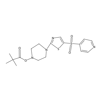 CC(C)(C)C(=O)ON1CCN(c2ncc(S(=O)(=O)c3ccncc3)s2)CC1